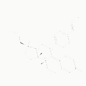 COC[C@]1(OC)CC[C@H]2[C@H]3CCC4=CC(=O)CCC4=C3[C@@H](c3ccc(/C=N/O)cc3)C[C@@]21C